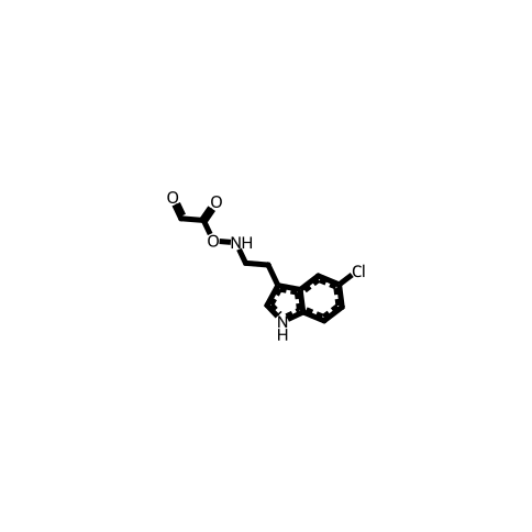 O=CC(=O)ONCCc1c[nH]c2ccc(Cl)cc12